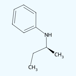 CC[C@H](C)Nc1ccccc1